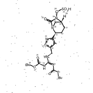 CC(C)(C)OC(=O)N=C(NCc1cc([C@@H]2CC[C@@H]3CN2C(=O)N3OS(=O)(=O)O)no1)NC(=O)OC(C)(C)C